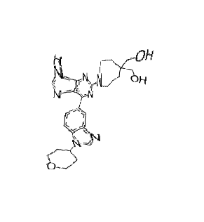 OCC1(CO)CCN(c2nc(-c3ccc4c(c3)ncn4C3CCOCC3)c3nc[nH]c3n2)CC1